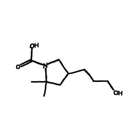 CC1(C)CC(CCCO)CN1C(=O)O